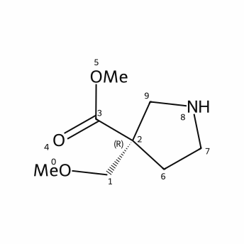 COC[C@@]1(C(=O)OC)CCNC1